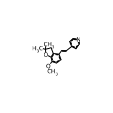 COc1ccc(/C=C/c2ccncc2)c2c1OC(C)(C)C2